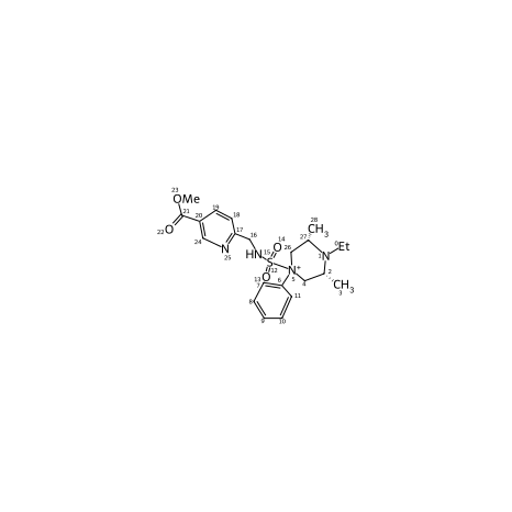 CCN1[C@H](C)C[N+](c2ccccc2)(S(=O)(=O)NCc2ccc(C(=O)OC)cn2)C[C@@H]1C